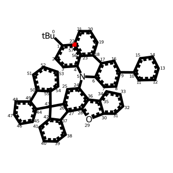 CC(C)(C)c1ccc(N(c2ccc(-c3ccccc3)cc2-c2ccccc2)c2cc3c(c4oc5ccccc5c24)-c2ccccc2C32c3ccccc3-c3ccccc32)cc1